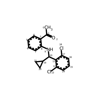 CC(=O)c1ccccc1NC(c1c(Cl)cccc1Cl)C1CC1